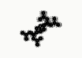 CC(C)(c1ccccc1-c1cccc(-c2cccc(-c3nc(-c4cccc(-c5cc(-c6ccccc6)cc(-c6ccccc6)c5)c4)nc(-c4cccc(-c5cc(-c6ccccc6)cc(-c6ccccc6)c5)c4)n3)c2)c1)c1ccccc1-c1cccc(-c2cccc(-c3nc(-c4cccc(-c5cc(-c6ccccc6)cc(-c6ccccc6)c5)c4)nc(-c4cccc(-c5cc(-c6ccccc6)cc(-c6ccccc6)c5)c4)n3)c2)c1